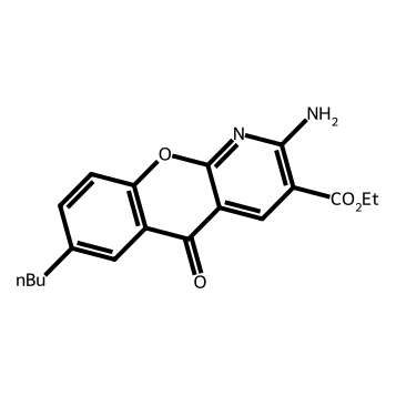 CCCCc1ccc2oc3nc(N)c(C(=O)OCC)cc3c(=O)c2c1